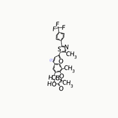 Cc1cc(/C=C\C(=O)c2sc(-c3ccc(C(F)(F)F)cc3)nc2C)cc(C)c1OC(C)(C)C(=O)O